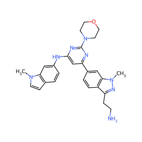 Cn1ccc2ccc(Nc3cc(-c4ccc5c(CCN)nn(C)c5c4)nc(N4CCOCC4)n3)cc21